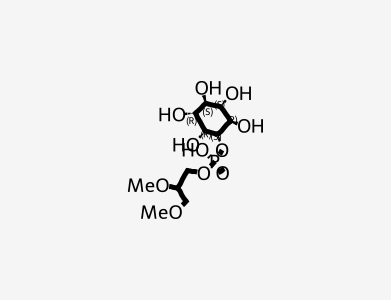 COCC(COP(=O)(O)O[C@@H]1[C@H](O)[C@H](O)[C@@H](O)[C@H](O)[C@H]1O)OC